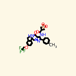 CC1=CCC=C(c2nn3c(c2NC(=O)C2CS(=O)(=O)C2)C(=O)N[C@@]2(CCc4cc(OCC(F)(F)F)ccc42)C3)C=C1